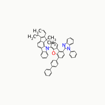 C=CC1=C(/C=C\C)C(C)(C)c2c1ccc1c3ccccc3n(-c3cccc4c3oc3c(-c5ccc(-c6ccccc6)cc5)ccc(-c5nc6ccccc6n5-c5ccccc5)c34)c21